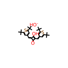 CC(C)(C)C1=CC(=CC2=C(O)C(=Cc3cc(C(C)(C)C)[s+]c(C(C)(C)C)c3)C2=O)C=C(C(C)(C)C)S1.[OH-]